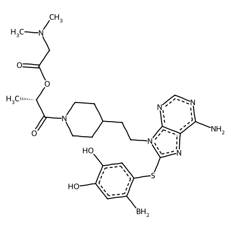 Bc1cc(O)c(O)cc1Sc1nc2c(N)ncnc2n1CCC1CCN(C(=O)[C@H](C)OC(=O)CN(C)C)CC1